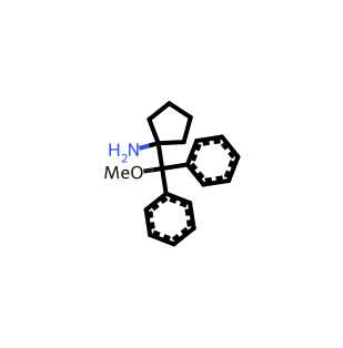 COC(c1ccccc1)(c1ccccc1)C1(N)CCCC1